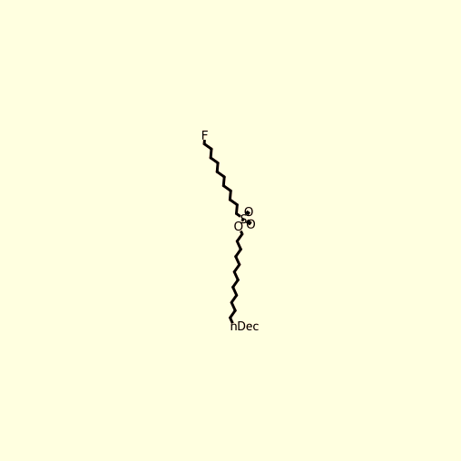 CCCCCCCCCCCCCCCCCCCCCCOS(=O)(=O)CCCCCCCCCCCF